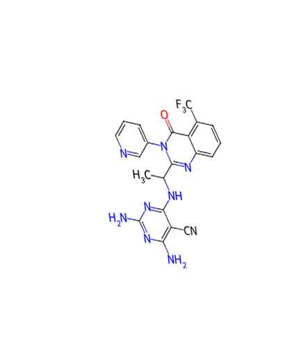 CC(Nc1nc(N)nc(N)c1C#N)c1nc2cccc(C(F)(F)F)c2c(=O)n1-c1cccnc1